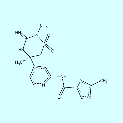 Cc1nc(C(=O)Nc2cc([C@]3(C)CS(=O)(=O)N(C)C(=N)N3)ccn2)co1